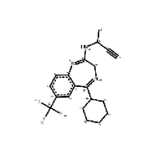 C#CC(C)NC1=Nc2ccc(C(F)(F)F)cc2C(C2CCCCC2)=NC1